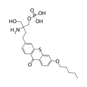 CCCCCOc1ccc2c(=O)c3ccc(CCC(N)(CO)COP(=O)(O)O)cc3sc2c1